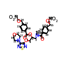 CC(C)(C)N(CC(COc1nsnc1N1CCOCC1)OC(=O)c1ccc(CO[N+](=O)[O-])cc1)C(=O)c1ccc(CO[N+](=O)[O-])cc1